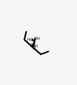 CCCCCCCC/C=C\CCCCCCCCOCC(COCCCCCCCC/C=C\CCCCCCCC)NC(=O)OCCN(CCO)CCO